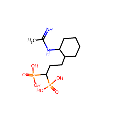 CC(=N)NC1CCCCC1CCC(P(=O)(O)O)P(=O)(O)O